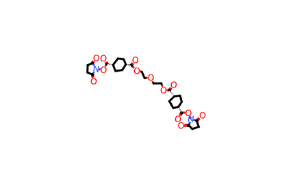 O=C1CCC(=O)N1OC(=O)[C@H]1CC[C@@H](C(=O)OCCOCCOC(=O)[C@H]2CC[C@@H](C(=O)ON3C(=O)CCC3=O)CC2)CC1